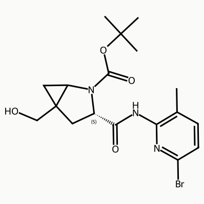 Cc1ccc(Br)nc1NC(=O)[C@@H]1CC2(CO)CC2N1C(=O)OC(C)(C)C